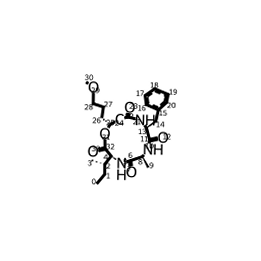 CC[C@H](C)[C@H]1NC(=O)[C@H](C)NC(=O)[C@H](Cc2ccccc2)NC(=O)C[C@@H](CCCOC)OC1=O